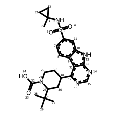 CC1(NS(=O)(=O)c2ccc3c(c2)[nH]c2ncnc(C4CCN(C(=O)O)C(C(C)(C)C)C4)c23)CC1